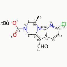 C[C@@H]1CN(C(=O)OC(C)(C)C)Cc2c(C=O)c3ccc(Cl)nc3n21